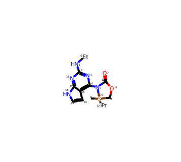 CCNc1nc(N2C(=O)OCS2(C)C(C)C)c2cc[nH]c2n1